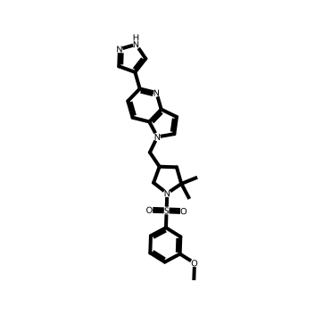 COc1cccc(S(=O)(=O)N2CC(Cn3ccc4nc(-c5cn[nH]c5)ccc43)CC2(C)C)c1